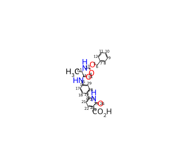 C[C@@H](NC(=O)OCc1ccccc1)C(=O)Nc1ccc(-c2ccc(C(=O)O)c(=O)[nH]2)cc1